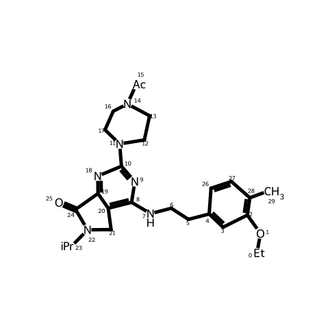 CCOc1cc(CCNc2nc(N3CCN(C(C)=O)CC3)nc3c2CN(C(C)C)C3=O)ccc1C